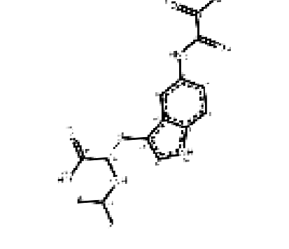 CC(=O)C(=O)Nc1ccc2[nH]cc(C[C@H](NC(C)C)C(=O)O)c2c1